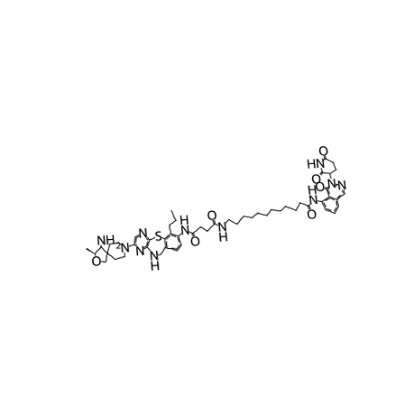 CCCc1c(NC(=O)CCC(=O)NCCCCCCCCCCCC(=O)Nc2cccc3cnn(C4CCC(=O)NC4=O)c(=O)c23)ccc2c1Sc1ncc(N3CCC4(CC3)CO[C@@H](C)[C@H]4N)nc1NC2